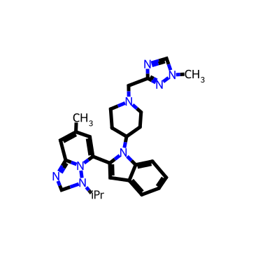 CC1=CC2=NCN(C(C)C)N2C(c2cc3ccccc3n2C2CCN(Cc3ncn(C)n3)CC2)=C1